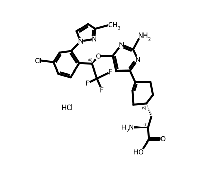 Cc1ccn(-c2cc(Cl)ccc2[C@@H](Oc2cc(C3=CC[C@@H](C[C@H](N)C(=O)O)CC3)nc(N)n2)C(F)(F)F)n1.Cl